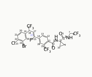 O=C(NC1(C(=O)NCC(F)(F)F)CC1)c1ccc(/C(F)=C/C(c2ccc(Cl)c(Br)c2)C(F)(F)F)cc1C(F)(F)F